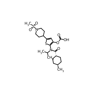 CC(C)N(c1sc(C2CCN(S(C)(=O)=O)CC2)cc1OC(=O)O)C(=O)[C@H]1CC[C@H](C)CC1